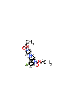 CCCOC(=O)N1CC2(CCN(C3CCN(C(=O)OCC)CC3)CC2)c2cc(F)ccc21